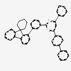 c1ccc(-c2ccc(-c3cc(-c4ccccc4)nc(-c4cccc(-c5cccc6c5C5(CCCCC5)c5ccccc5-6)c4)n3)cc2)cc1